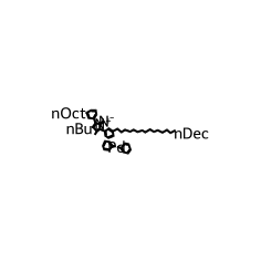 CCCCCCCCCCCCCCCCCCCCCCCCCc1cccc(C2=C(C)C(CCCC)=C(c3cccc(CCCCCCCC)c3)[N+]2=[N-])c1.c1cc[c]([Pd][c]2ccccc2)cc1